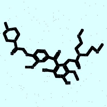 CCc1c(O)cc(O)c(C(=O)c2ccc(OCC(=O)N3CCN(C)CC3)c(OC)c2)c1CC(=O)N(CCOC)CCOC